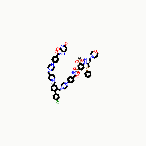 C[C@@]1(CN2CCC(CN3CCN(c4ccc(C(=O)N[C@H]5CCC(=O)NC5=O)cc4)CC3)CC2)CCC(c2ccc(Cl)cc2)=C(CN2CCN(c3ccc(C(=O)NS(=O)(=O)c4ccc(N[C@H](CCN5CCCOCC5)CSc5ccccc5)c(S(=O)(=O)C(F)(F)F)c4)cc3)CC2)C1